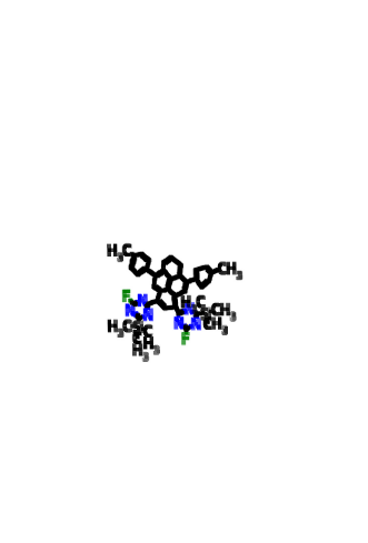 Cc1ccc(-c2cc3c(-c4nc(F)nc([Si](C)(C)C)n4)cc(-c4nc(F)nc([Si](C)(C)C)n4)c4cc(-c5ccc(C)cc5)c5cccc2c5c34)cc1